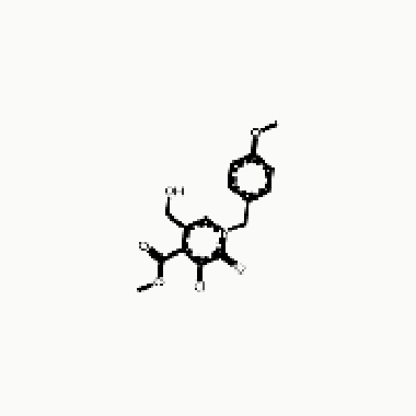 COC(=O)c1c(CO)cn(Cc2ccc(OC)cc2)c(=O)c1Cl